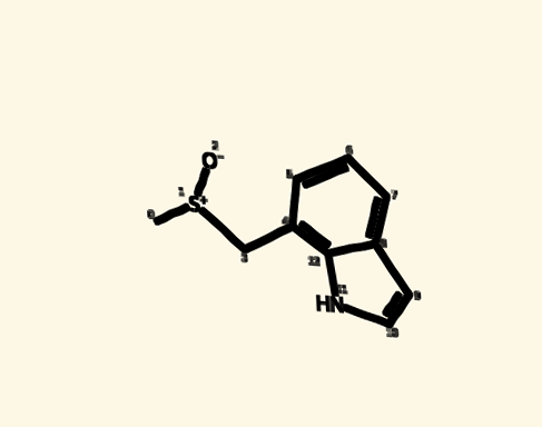 C[S+]([O-])Cc1cccc2cc[nH]c12